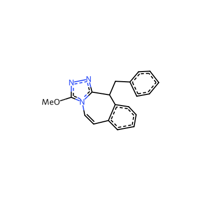 COc1nnc2n1C=Cc1ccccc1C2Cc1ccccc1